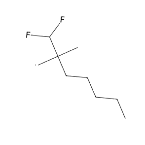 [CH2]C(C)(CCCCC)C(F)F